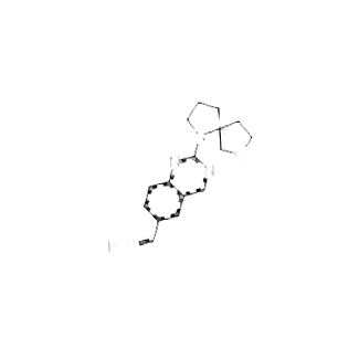 C=Cc1ccc2nc(N3CCC[C@]34CCOC4)ncc2c1